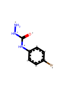 NNC(=O)Nc1ccc(Br)cc1